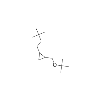 CC(C)(C)CCC1CC1COC(C)(C)C